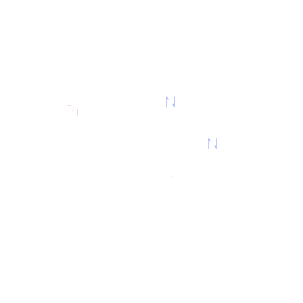 CC1=Nc2ncc(Br)cc2C1(C)C